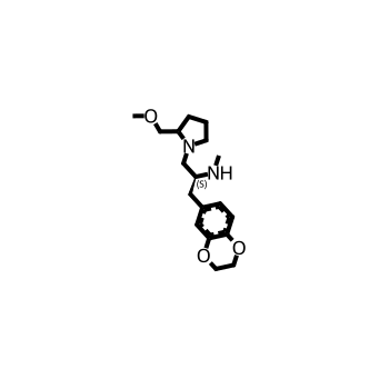 CN[C@@H](Cc1ccc2c(c1)OCCO2)CN1CCCC1COC